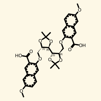 COc1ccc2cc(OC[C@@H]3OC(C)(C)O[C@H]3[C@H]3OC(C)(C)O[C@@H]3COc3cc4ccc(OC)cc4cc3C(=O)O)c(C(=O)O)cc2c1